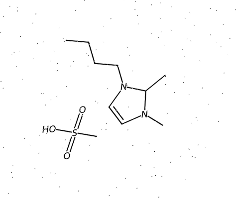 CCCCN1C=CN(C)C1C.CS(=O)(=O)O